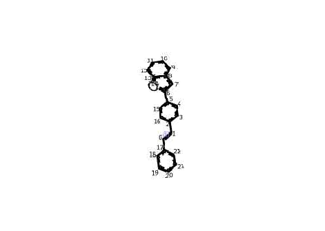 C(=C\c1ccc(-c2cc3ccccc3o2)cc1)/c1ccccc1